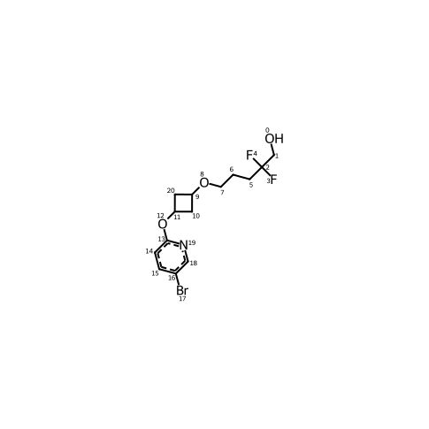 OCC(F)(F)CCCOC1CC(Oc2ccc(Br)cn2)C1